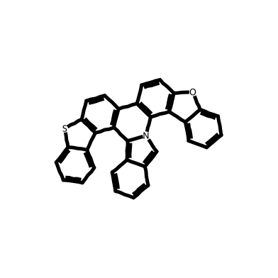 c1ccc2c(c1)cn1c3c(ccc4oc5ccccc5c43)c3ccc4sc5ccccc5c4c3c21